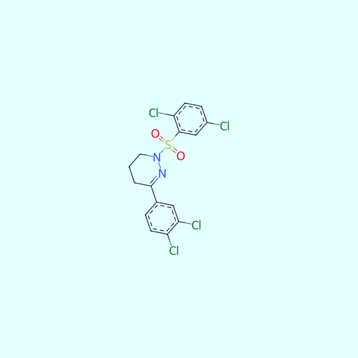 O=S(=O)(c1cc(Cl)ccc1Cl)N1CCCC(c2ccc(Cl)c(Cl)c2)=N1